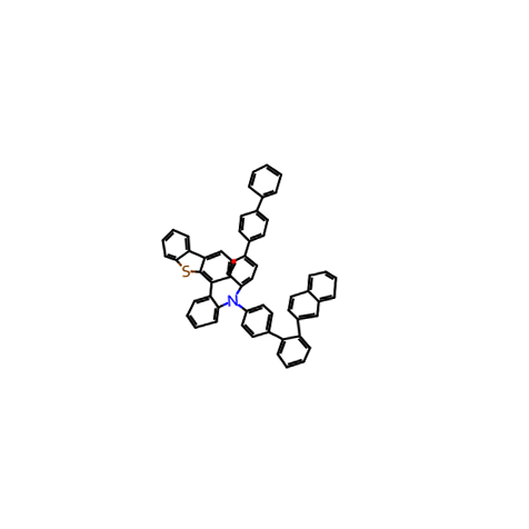 c1ccc(-c2ccc(-c3ccc(N(c4ccc(-c5ccccc5-c5ccc6ccccc6c5)cc4)c4ccccc4-c4cccc5c4sc4ccccc45)cc3)cc2)cc1